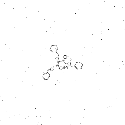 CC(C)O[C@H](COCc1ccccc1)[C@@H](OCc1ccccc1)[C@H](C)COCc1ccccc1